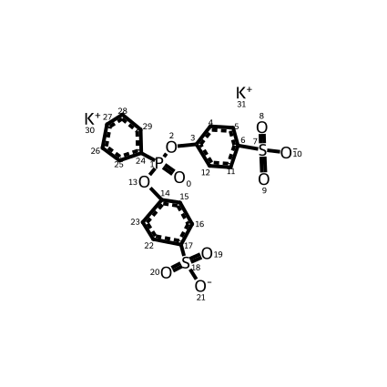 O=P(Oc1ccc(S(=O)(=O)[O-])cc1)(Oc1ccc(S(=O)(=O)[O-])cc1)c1ccccc1.[K+].[K+]